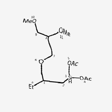 CCC(C[SiH](OC(C)=O)OC(C)=O)OCC(COC)OC